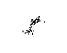 C=C(C)C(=O)OCCC(F)(F)C(F)(F)C(F)(F)CC(F)(F)C(F)(F)F